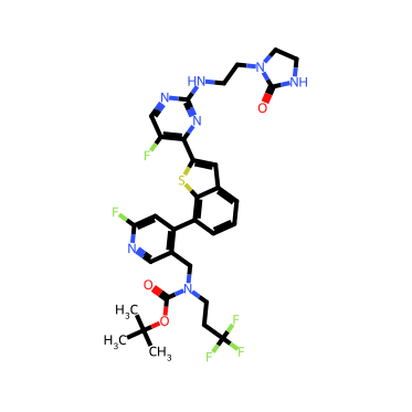 CC(C)(C)OC(=O)N(CCC(F)(F)F)Cc1cnc(F)cc1-c1cccc2cc(-c3nc(NCCN4CCNC4=O)ncc3F)sc12